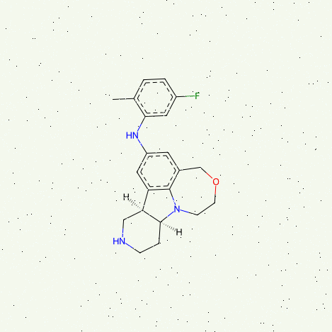 Cc1ccc(F)cc1Nc1cc2c3c(c1)[C@@H]1CNCC[C@@H]1N3CCOC2